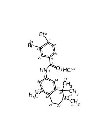 CCc1ccc(C(=O)Nc2cc(C)c3c(c2)C(C)(C)N(C)CC3)cc1Br.Cl